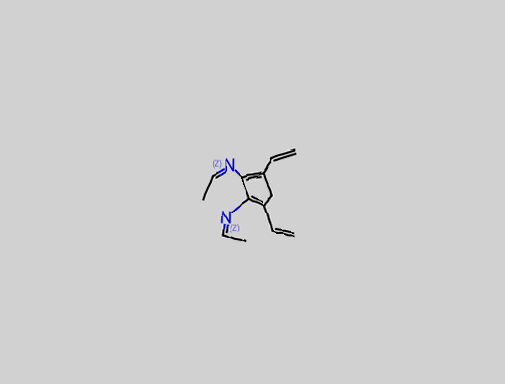 C=CC1=C(/N=C\C)C(/N=C\C)=C(C=C)C1